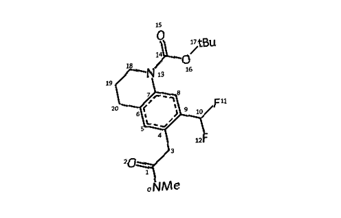 CNC(=O)Cc1cc2c(cc1C(F)F)N(C(=O)OC(C)(C)C)CCC2